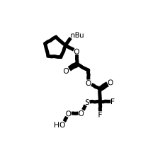 CCCCC1(OC(=O)COC(=O)C(F)(F)SOOO)CCCC1